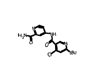 CC(C)(C)c1cc(Cl)c(C(=O)Nc2ccnc(C(N)=O)c2)cn1